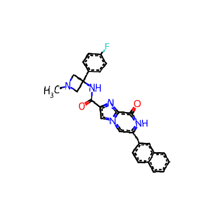 CN1CC(NC(=O)c2cn3cc(-c4ccc5ccccc5c4)[nH]c(=O)c3n2)(c2ccc(F)cc2)C1